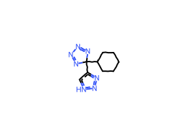 c1[nH]nnc1C1([C]2CCCCC2)N=NN=N1